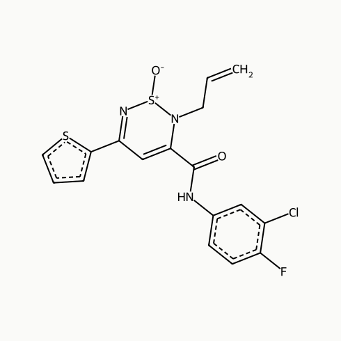 C=CCN1C(C(=O)Nc2ccc(F)c(Cl)c2)=CC(c2cccs2)=N[S+]1[O-]